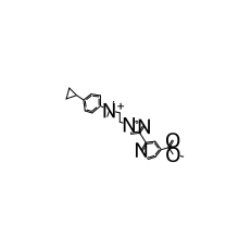 COC(=O)c1ccnc(-c2cn(CC[N+](C)(C)c3ccc(C4CC4)cc3)cn2)c1